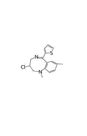 Cc1ccc2c(c1)C(c1cccs1)=NCC(Cl)CN2C